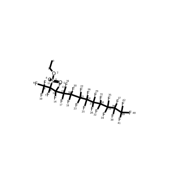 CCOS(=O)(=O)C(F)(C(F)(F)F)C(F)(F)C(F)(F)C(F)(F)C(F)(F)C(F)(F)C(F)(F)C(F)(F)C(F)(F)C(F)(F)C(F)(F)F